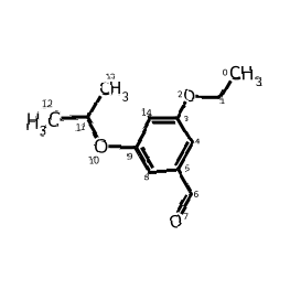 CCOc1cc(C=O)cc(OC(C)C)c1